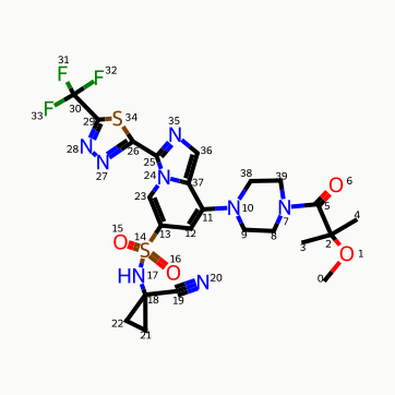 COC(C)(C)C(=O)N1CCN(c2cc(S(=O)(=O)NC3(C#N)CC3)cn3c(-c4nnc(C(F)(F)F)s4)ncc23)CC1